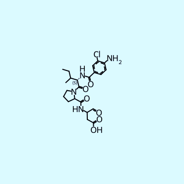 CCC(C)[C@H](NC(=O)c1ccc(N)c(Cl)c1)C(=O)N1CCCC1C(=O)NC(C=O)CC(=O)O